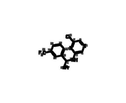 CCCC(Nc1cncc(Cl)n1)c1cccc(C(F)(F)F)c1